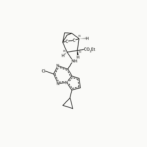 CCOC(=O)[C@@H]1[C@@H](Nc2nc(Cl)nn3c(C4CC4)ccc23)C23CC[C@H]1C(C2)C3